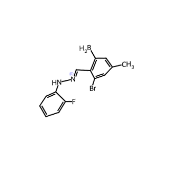 Bc1cc(C)cc(Br)c1/C=N/Nc1ccccc1F